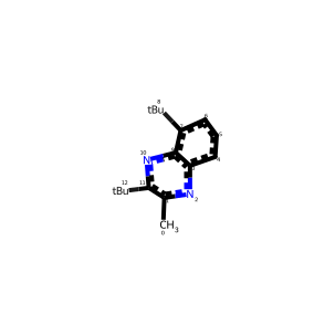 Cc1nc2cccc(C(C)(C)C)c2nc1C(C)(C)C